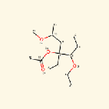 CCOC(CC)C(CC)(CC(C)OC)OC(C)=O